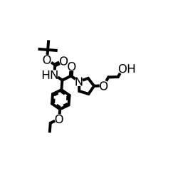 CCOc1ccc(C(NC(=O)OC(C)(C)C)C(=O)N2CCC(OCCO)C2)cc1